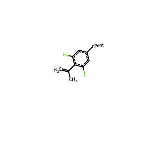 C=C(C)c1c(F)cc(CCCCC)cc1F